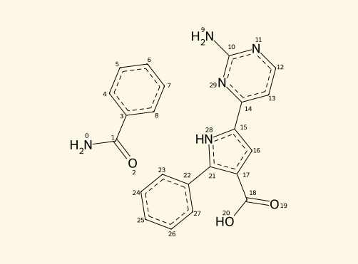 NC(=O)c1ccccc1.Nc1nccc(-c2cc(C(=O)O)c(-c3ccccc3)[nH]2)n1